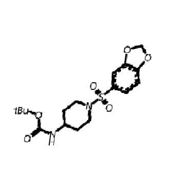 CC(C)(C)OC(=O)NC1CCN(S(=O)(=O)c2ccc3c(c2)OCO3)CC1